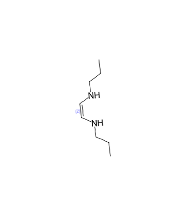 CCCN/C=C\NCCC